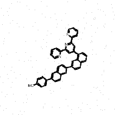 N#Cc1ccc(-c2ccc3cc(-c4ccc5cccc(-c6cc(-c7ccccn7)nc(-c7ccccn7)c6)c5c4)ccc3c2)cc1